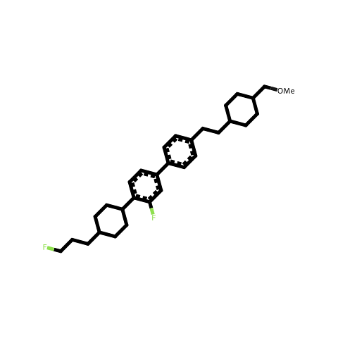 COCC1CCC(CCc2ccc(-c3ccc(C4CCC(CCCF)CC4)c(F)c3)cc2)CC1